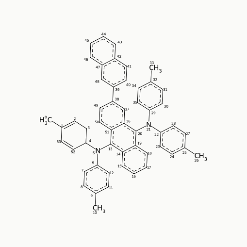 CC1=CCC(N(c2ccc(C)cc2)c2c3ccccc3c(N(c3ccc(C)cc3)c3ccc(C)cc3)c3cc(-c4ccc5ccccc5c4)ccc23)C=C1